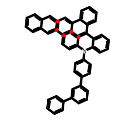 c1ccc(-c2cccc(-c3ccc(N(c4ccc(-c5ccc6ccccc6c5)cc4)c4ccccc4-c4cc5ccccc5c5ccccc45)cc3)c2)cc1